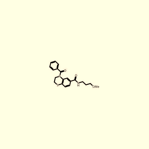 COCCCNC(=O)c1ccc2c(c1)N(C(=O)c1ccccc1)CCS2